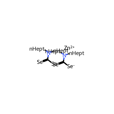 CCCCCCCN(CCCCCCC)C(=[Se])[Se-].CCCCCCCN(CCCCCCC)C(=[Se])[Se-].[Zn+2]